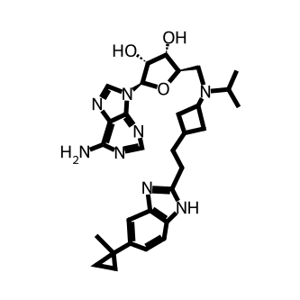 CC(C)N(C[C@H]1O[C@@H](n2cnc3c(N)ncnc32)[C@H](O)[C@@H]1O)C1CC(CCc2nc3cc(C4(C)CC4)ccc3[nH]2)C1